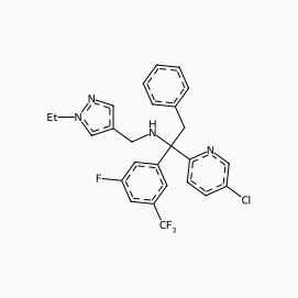 CCn1cc(CNC(Cc2ccccc2)(c2cc(F)cc(C(F)(F)F)c2)c2ccc(Cl)cn2)cn1